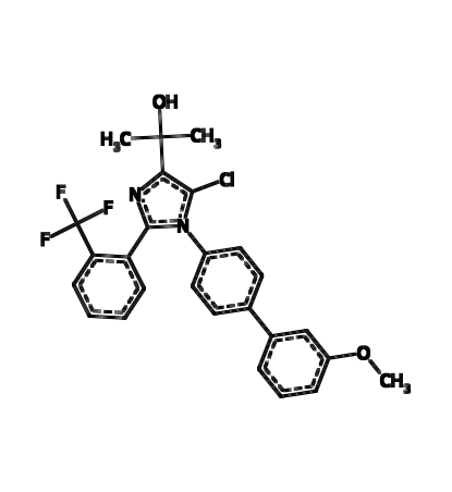 COc1cccc(-c2ccc(-n3c(-c4ccccc4C(F)(F)F)nc(C(C)(C)O)c3Cl)cc2)c1